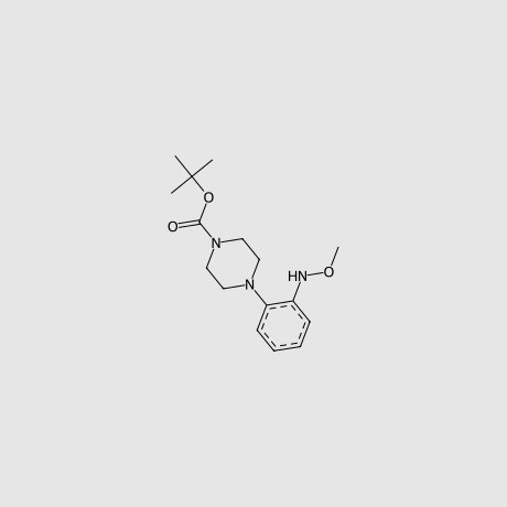 CONc1ccccc1N1CCN(C(=O)OC(C)(C)C)CC1